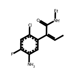 C/C=C(\C(=O)NCC)c1cc(N)c(F)cc1Cl